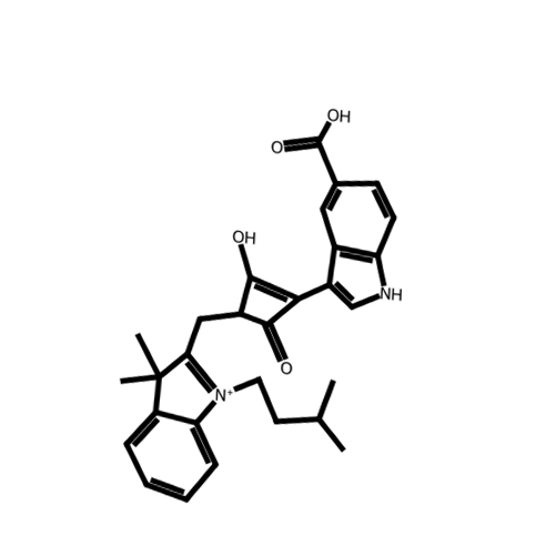 CC(C)CC[N+]1=C(CC2C(=O)C(c3c[nH]c4ccc(C(=O)O)cc34)=C2O)C(C)(C)c2ccccc21